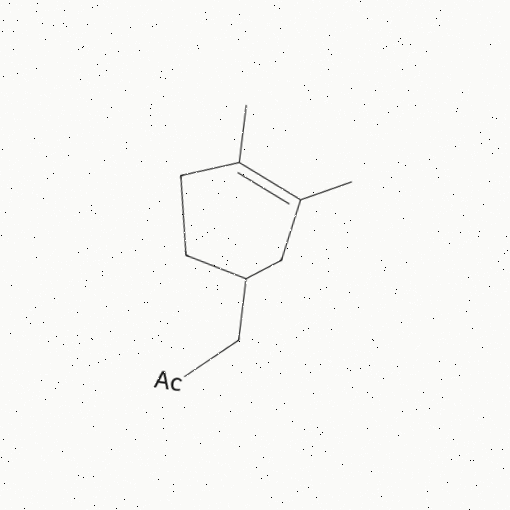 CC(=O)CC1CCC(C)=C(C)C1